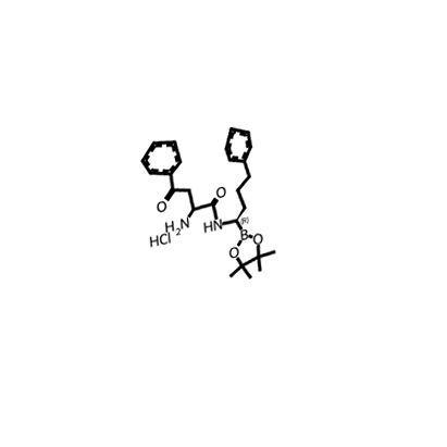 CC1(C)OB([C@H](CCCc2ccccc2)NC(=O)C(N)CC(=O)c2ccccc2)OC1(C)C.Cl